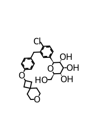 OC[C@H]1O[C@@H](c2ccc(Cl)c(Cc3ccc(OC4CC5(CCOCC5)C4)cc3)c2)[C@H](O)[C@@H](O)[C@@H]1O